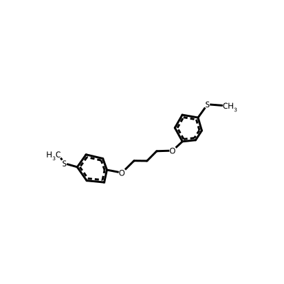 CSc1ccc(OCCCOc2ccc(SC)cc2)cc1